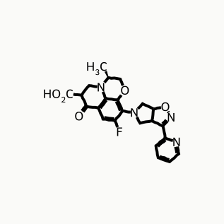 C[C@H]1COc2c(N3CC4ON=C(c5ccccn5)C4C3)c(F)cc3c2N1CC(C(=O)O)C3=O